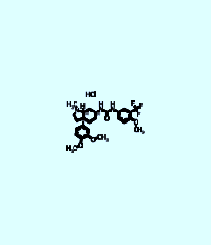 COc1ccc([C@@]23CC[C@@H](NC(=O)Nc4ccc(OC)c(C(F)(F)F)c4)C[C@@H]2N(C)CC3)cc1OC.Cl